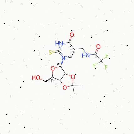 CC1(C)OC2C(O1)[C@@H](CO)O[C@H]2n1cc(CNC(=O)C(F)(F)F)c(=O)[nH]c1=S